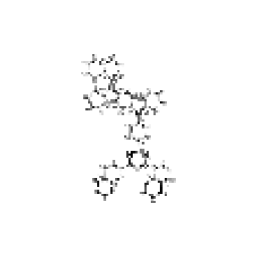 c1ccc2cc(-c3cc(-c4cccc5ccccc45)nc(-c4ccc(-n5c6ccccc6c6cc7c(cc65)c5ccccc5n7-c5cccc6ccccc56)cc4)n3)ccc2c1